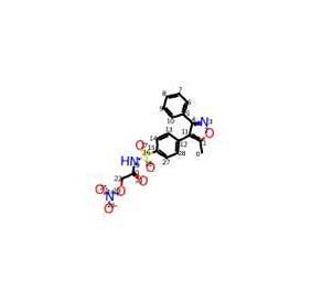 Cc1onc(-c2ccccc2)c1-c1ccc(S(=O)(=O)NC(=O)CO[N+](=O)[O-])cc1